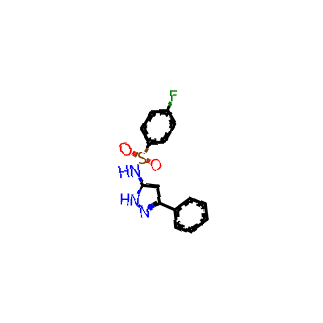 O=S(=O)(NC1CC(c2ccccc2)=NN1)c1ccc(F)cc1